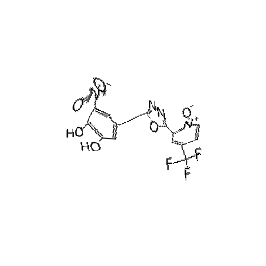 O=[N+]([O-])c1cc(-c2nnc(-c3cc(C(F)(F)F)cc[n+]3[O-])o2)cc(O)c1O